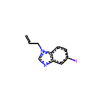 C=CCn1cnc2cc(I)ccc21